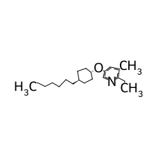 CCCCCCC[C@H]1CC[C@H](Oc2cnc(CC)c(C)c2)CC1